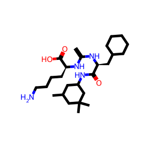 C=C(N[C@@H](CCCCN)C(=O)O)N[C@@H](CC1CCCCC1)C(=O)NC1CC(C)CC(C)(C)C1